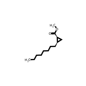 CCCCCCCC[C@@H]1C[C@@H]1C(=O)OC